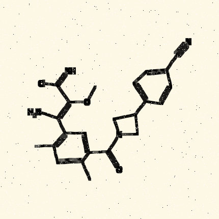 CO/C(C(=N)Cl)=C(/N)c1cc(C(=O)N2CC(c3ccc(C#N)cc3)C2)c(C)cc1C